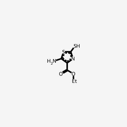 CCOC(=O)c1nc(S)sc1N